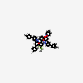 Cc1ccc(-c2ccc3c(c2)c2cc(-c4ccc(C)cc4)ccc2n3-c2ccc(C#N)cc2-c2ccc(C(F)(F)F)cc2-n2c3ccc(-c4ccc(C)cc4)cc3c3cc(-c4ccc(C)cc4)ccc32)cc1